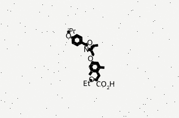 CCOC(Cc1c(C)cc(OCc2nc(-c3ccc(OC(C)C)cc3)oc2C)cc1C)C(=O)O